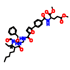 CCCCCC(C(=O)NCNC(=O)c1ccc(-c2ccc(C(=O)NC(CCC(=O)OC)C(=O)OC)cc2)o1)[C@@H](CC)N(C=O)OCc1ccccc1